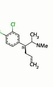 C=CC[C@@H](c1ccc(Cl)c(Cl)c1)C(C)NC